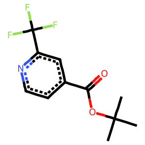 CC(C)(C)OC(=O)c1ccnc(C(F)(F)F)c1